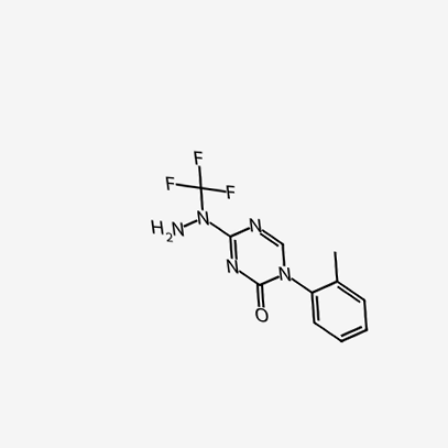 Cc1ccccc1-n1cnc(N(N)C(F)(F)F)nc1=O